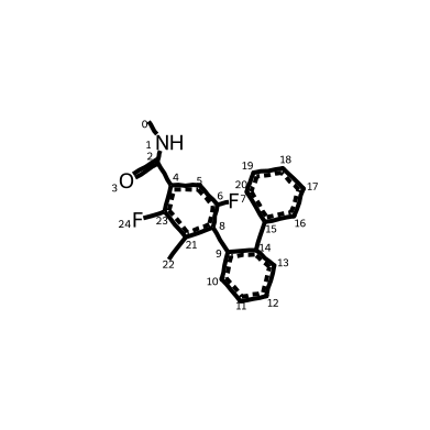 CNC(=O)c1cc(F)c(-c2ccccc2-c2ccccc2)c(C)c1F